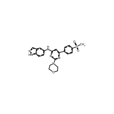 CS(=O)(=O)c1ccc(-c2cc(Nc3ccc4[nH]ncc4c3)nc(N3CCOCC3)n2)cc1